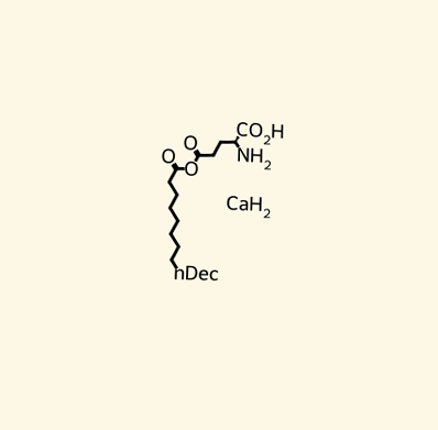 CCCCCCCCCCCCCCCCCC(=O)OC(=O)CC[C@H](N)C(=O)O.[CaH2]